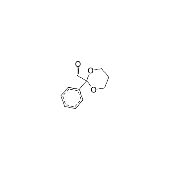 O=CC1(c2ccccc2)OCCCO1